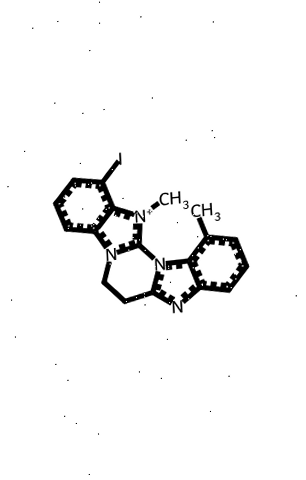 Cc1cccc2nc3n(c12)-c1n(c2cccc(I)c2[n+]1C)CC3